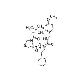 COc1ccc(CNC(=S)[C@@H](CCC2CCCCC2)NC(=O)[C@H]2CSCN2C(=O)OC(C)(C)C)cc1